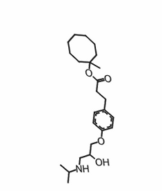 CC(C)NCC(O)COc1ccc(CCC(=O)OC2(C)CCCCCCC2)cc1